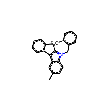 Cc1ccc2c(c1)c1c(n2Cc2ccccc2C(F)(F)F)Cc2ccccc2-1